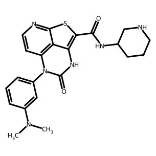 CN(C)c1cccc(N2C(=O)Nc3c(C(=O)NC4CCCNC4)sc4nccc2c34)c1